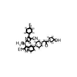 CCc1nn2ccc(N3CCN(CC(=O)N4CC[C@@H](O)C4)CC3)cc2c1N(C)c1nc(-c2ccc(F)cc2)c(C#N)s1